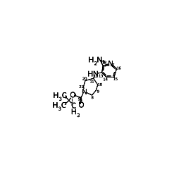 CC(C)(C)OC(=O)N1CCCC(Nc2cccnc2N)CC1